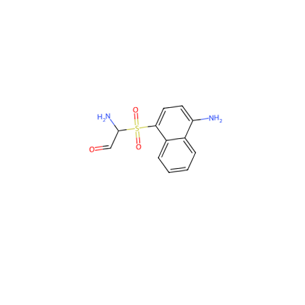 Nc1ccc(S(=O)(=O)C(N)C=O)c2ccccc12